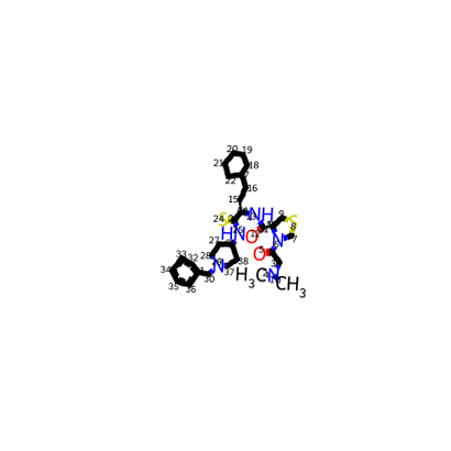 CN(C)CC(=O)N1CSC[C@H]1C(=O)N[C@H](CCC1CCCCC1)C(=S)NC1CCN(Cc2ccccc2)CC1